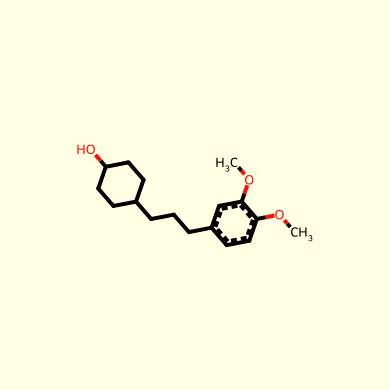 COc1ccc(CCCC2CCC(O)CC2)cc1OC